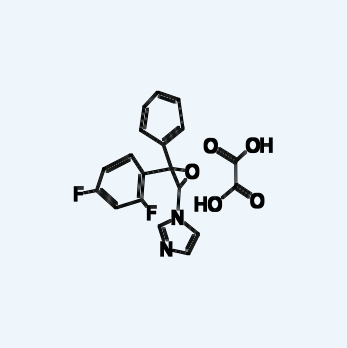 Fc1ccc(C2(c3ccccc3)OC2n2ccnc2)c(F)c1.O=C(O)C(=O)O